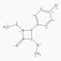 COC1C(=O)N(SC)C1c1ccc(Cl)cc1